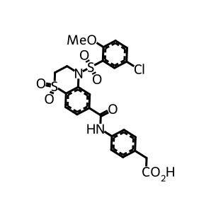 COc1ccc(Cl)cc1S(=O)(=O)N1CCS(=O)(=O)c2ccc(C(=O)Nc3ccc(CC(=O)O)cc3)cc21